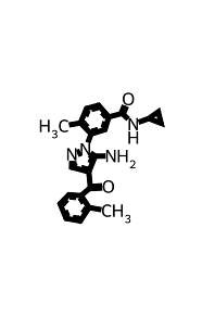 Cc1ccccc1C(=O)c1cnn(-c2cc(C(=O)NC3CC3)ccc2C)c1N